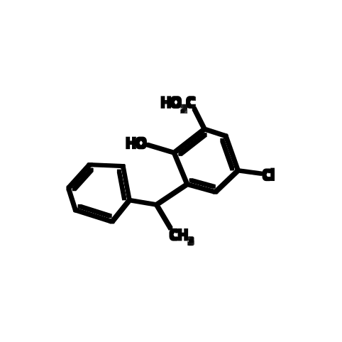 CC(c1ccccc1)c1cc(Cl)cc(C(=O)O)c1O